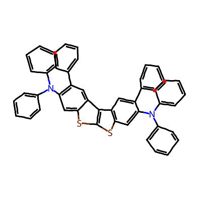 c1ccc(-c2cc3c(cc2N(c2ccccc2)c2ccccc2)sc2sc4cc(N(c5ccccc5)c5ccccc5)c(-c5ccccc5)cc4c23)cc1